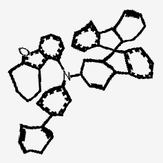 C1=CC(c2ccc(N(c3cccc4oc5c(c34)CCCC5)C3C=CC4c5ccccc5C5(c6ccccc6C6C=CCCC65)C4C3)cc2)=CCC1